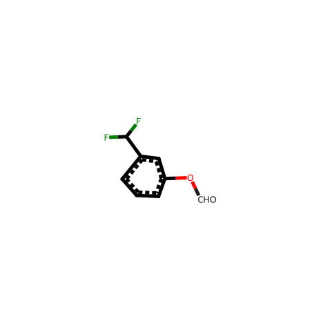 O=COc1cccc(C(F)F)c1